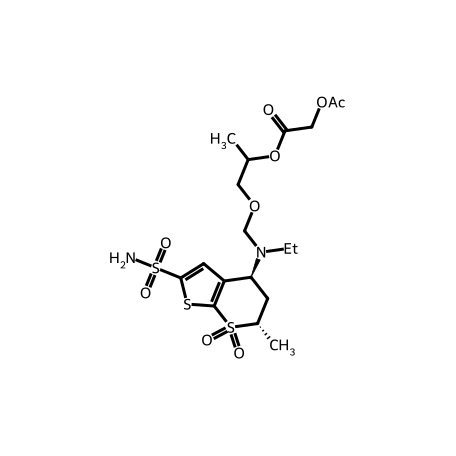 CCN(COCC(C)OC(=O)COC(C)=O)[C@H]1C[C@H](C)S(=O)(=O)c2sc(S(N)(=O)=O)cc21